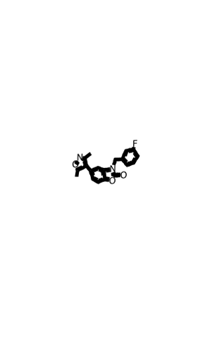 Cc1noc(C)c1-c1ccc2oc(=O)n(Cc3cccc(F)c3)c2c1